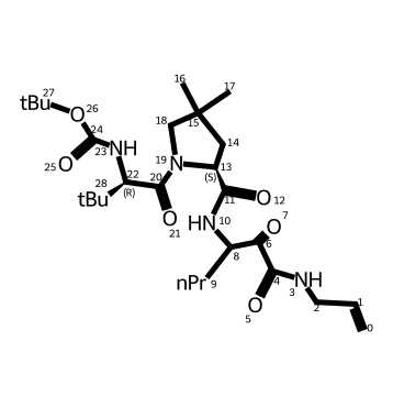 C=CCNC(=O)C(=O)C(CCC)NC(=O)[C@@H]1CC(C)(C)CN1C(=O)[C@H](NC(=O)OC(C)(C)C)C(C)(C)C